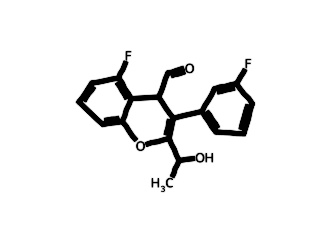 CC(O)C1=C(c2cccc(F)c2)C(C=O)c2c(F)cccc2O1